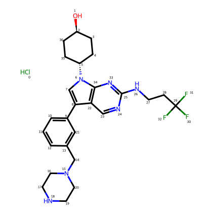 Cl.O[C@H]1CC[C@H](n2cc(-c3cccc(CN4CCNCC4)c3)c3cnc(NCCC(F)(F)F)nc32)CC1